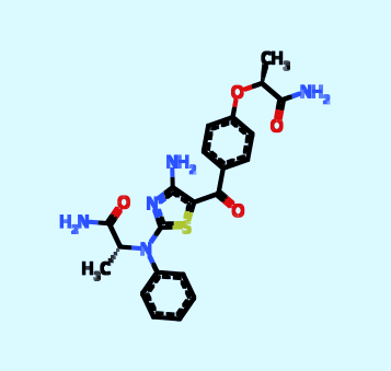 C[C@H](Oc1ccc(C(=O)c2sc(N(c3ccccc3)[C@H](C)C(N)=O)nc2N)cc1)C(N)=O